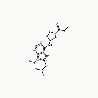 CCC(=O)N1CC[C@H](Nc2ncnc3c2nc(CC(C)C)n3CC)C1